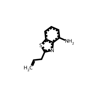 C=CCc1nc2c(N)cccc2s1